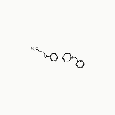 CCCOc1ccc(C2=CCN(Cc3ccccc3)CC2)cc1